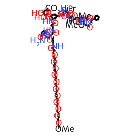 CC[C@H](C)[C@@H]([C@@H](CC(=O)N1CCC[C@H]1[C@H](OC)[C@@H](C)C(=O)N[C@H](C)[C@@H](O)c1ccccc1)OC)N(C)C(=O)[C@@H](NC(=O)[C@H](C(C)C)N(C)C(=O)OCc1ccc(O[C@@H]2OC(C(=O)O)=C[C@H](O)[C@H]2O)c(NC(=O)CCNC(=O)[C@H](CCCCNC(=O)CCOCCOCCOCCOCCOCCOCCOCCOCCOCCOCCOCCOC)NC(=O)[C@H](CN)N2C(=O)C=CC2=O)c1)C(C)C